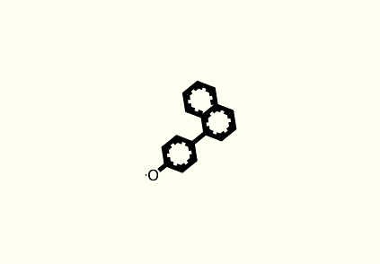 [O]c1ccc(-c2cccc3ccccc23)cc1